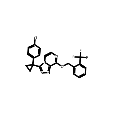 FC(F)(F)c1ccccc1COc1nccn2c(C3(c4ccc(Cl)cc4)CC3)nnc12